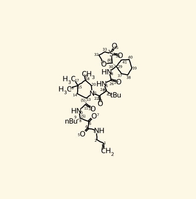 C=CCNC(=O)C(=O)[C@H](CCCC)NC(=O)[C@@H]1CC(C)(C)C(C)CN1C(=O)[C@@H](NC(=O)NC1([C@@H]2OCCS2(=O)=O)CCCCC1)C(C)(C)C